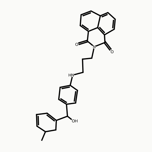 CC1C=CC=C(C(O)c2ccc(NCCCN3C(=O)c4cccc5cccc(c45)C3=O)cc2)C1